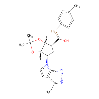 Cc1ccc([SH]=C(O)[C@H]2C[C@@H](n3ccc4c(C)ncnc43)[C@@H]3OC(C)(C)O[C@@H]32)cc1